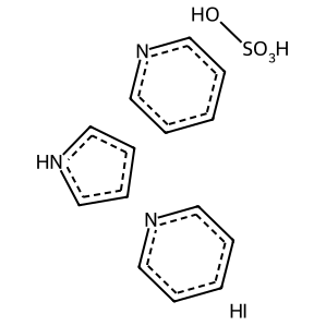 I.O=S(=O)(O)O.c1cc[nH]c1.c1ccncc1.c1ccncc1